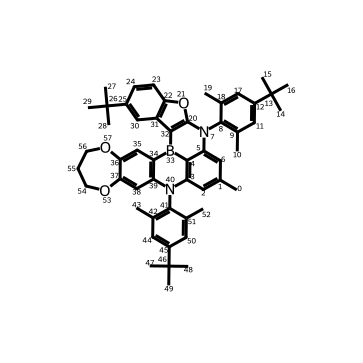 Cc1cc2c3c(c1)N(c1c(C)cc(C(C)(C)C)cc1C)c1oc4ccc(C(C)(C)C)cc4c1B3c1cc3c(cc1N2c1c(C)cc(C(C)(C)C)cc1C)OCCCO3